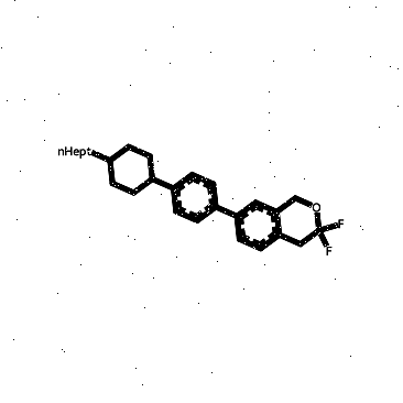 CCCCCCCC1CCC(c2ccc(-c3ccc4c(c3)COC(F)(F)C4)cc2)CC1